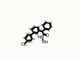 O=C(NO)C(c1ccccc1)c1cccc(-c2ccc(Cl)cc2)c1